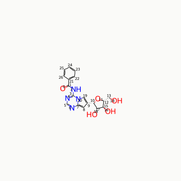 O=C(Nc1ncnc2cc([C@@H]3O[C@H](CO)[C@@H](O)[C@@H]3O)cn12)c1ccccc1